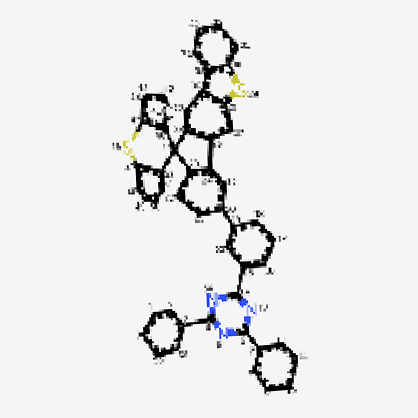 c1ccc(-c2nc(-c3ccccc3)nc(-c3cccc(-c4ccc5c(c4)-c4cc6sc7ccccc7c6cc4C54c5ccccc5Sc5ccccc54)c3)n2)cc1